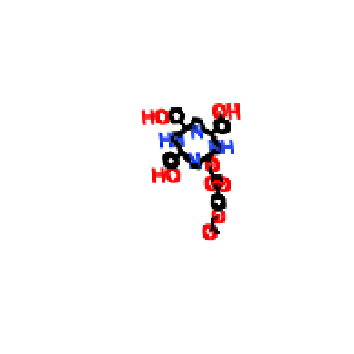 Oc1cccc(-c2c3nc(c(-c4cccc(O)c4)c4ccc([nH]4)c(-c4cccc(O)c4)c4nc(c(OCC5COC(c6ccc(OCC7CO7)cc6)O5)c5ccc2[nH]5)C=C4)C=C3)c1